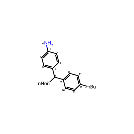 CCCCCCCCCC(c1ccc(N)cc1)c1ccc(CCCC)cc1